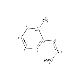 CO/N=[C]\c1ccccc1C#N